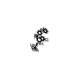 CC(C)(C)OC(=O)NCCN[C@@H]1Cc2cc(Cl)ccc2-n2c(nnc2[C@H]2CC[C@H](Oc3ccccn3)CC2)C1